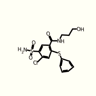 NS(=O)(=O)c1cc(C(=O)NCCCO)c(Sc2ccccc2)cc1Cl